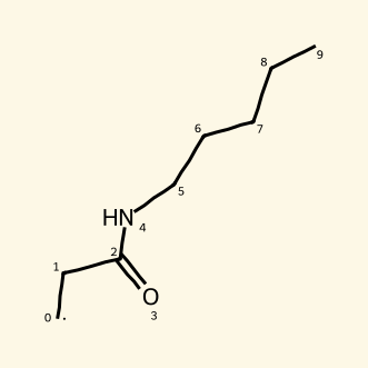 [CH2]CC(=O)NCCCCC